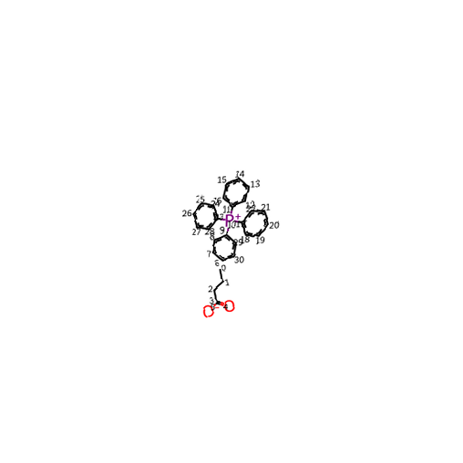 CCCC(=O)[O-].c1ccc([P+](c2ccccc2)(c2ccccc2)c2ccccc2)cc1